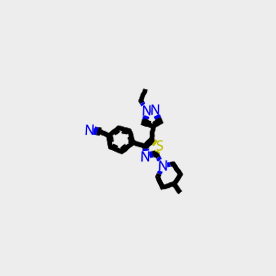 CCn1cc(-c2sc(N3CCC(C)CC3)nc2-c2ccc(C#N)cc2)cn1